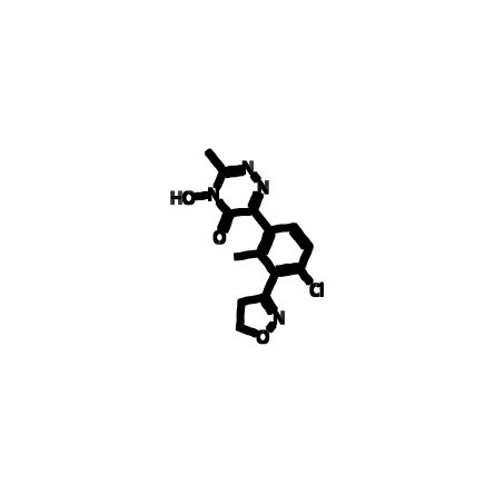 Cc1c(-c2nnc(C)n(O)c2=O)ccc(Cl)c1C1=NOCC1